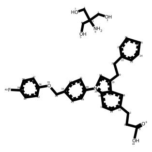 NC(CO)(CO)CO.O=C(O)CCc1ccc2c(c1)c(CCc1ccccc1)cn2-c1ccc(COc2ccc(F)cc2)cc1